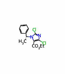 CCOC(=O)c1c(Cl)nc(Cl)n1[C@H](C)c1ccccc1